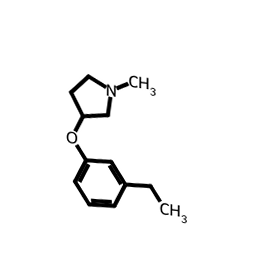 CCc1cccc(OC2CCN(C)C2)c1